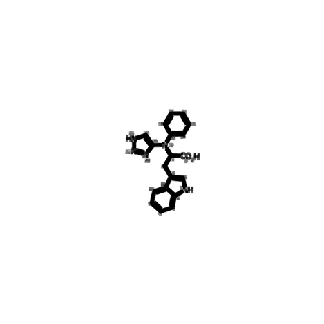 O=C(O)C(Cc1c[nH]c2ccccc12)N(c1ccccc1)c1c[nH]nn1